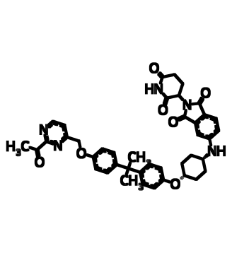 CC(=O)c1nccc(COc2ccc(C(C)(C)c3ccc(O[C@H]4CC[C@H](Nc5ccc6c(c5)C(=O)N(C5CCC(=O)NC5=O)C6=O)CC4)cc3)cc2)n1